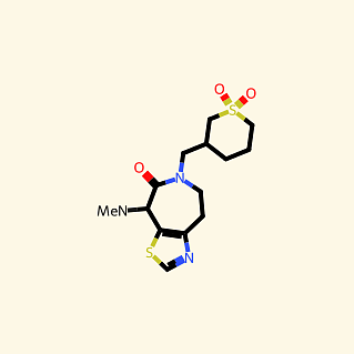 CNC1C(=O)N(CC2CCCS(=O)(=O)C2)CCc2ncsc21